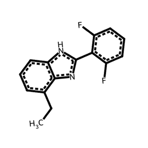 CCc1cccc2[nH]c(-c3c(F)cccc3F)nc12